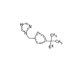 CCC(C)(C)c1ccc(Cn2cncn2)cc1